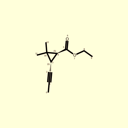 CC#C[C@H]1[C@H](C(=O)OCC)C1(C)C